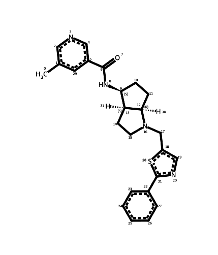 Cc1cncc(C(=O)N[C@H]2CC[C@@H]3[C@H]2CCN3Cc2cnc(-c3ccccc3)s2)c1